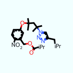 CC(C)Cc1cn(C(C)(C)CC(C)(C)Oc2ccc([N+](=O)[O-])c(COC(=O)C(C)C)c2)nn1